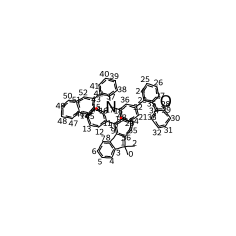 CC1(C)c2ccccc2-c2c(-c3ccccc3N(c3cccc(-c4cccc5oc6ccccc6c45)c3)c3ccccc3-c3ccc4ccccc4c3)cccc21